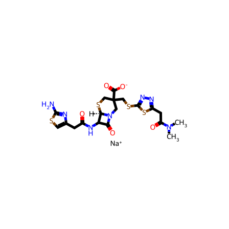 CN(C)C(=O)Cc1nnc(SCC2(C(=O)[O-])CS[C@@H]3C(NC(=O)Cc4csc(N)n4)C(=O)N3C2)s1.[Na+]